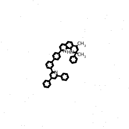 CC1=CC(C)(c2ccccc2)Nc2c1ccc1ccc(-c3ccc(-c4cccc(-c5cc(-c6ccccc6)cc(-c6ccccc6)n5)c4)cc3)nc21